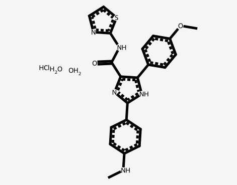 CNc1ccc(-c2nc(C(=O)Nc3nccs3)c(-c3ccc(OC)cc3)[nH]2)cc1.Cl.O.O